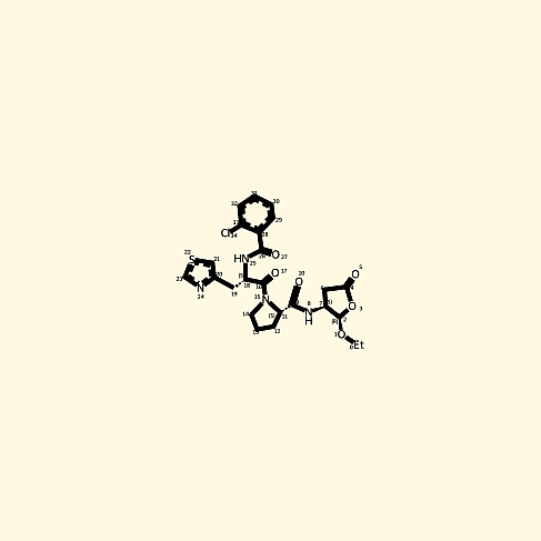 CCO[C@@H]1OC(=O)C[C@@H]1NC(=O)[C@@H]1CCCN1C(=O)[C@H](Cc1cscn1)NC(=O)c1ccccc1Cl